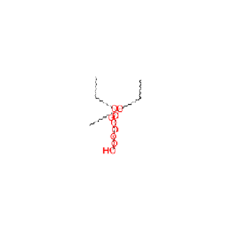 CCCCCCCC/C=C\CCCCCCCCOCC(OCCCCCCCC/C=C\CCCCCCCC)C(CCCCCCCCCCCC)OC(=O)COCCOCCOCCOCCO